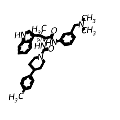 Cc1ccc(C2CCN(C(=O)N[C@@H](C(=O)Nc3cccc(CN(C)C)c3)[C@@H](C)c3c[nH]c4ccccc34)CC2)cc1